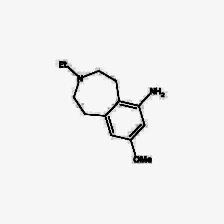 CCN1CCc2cc(OC)cc(N)c2CC1